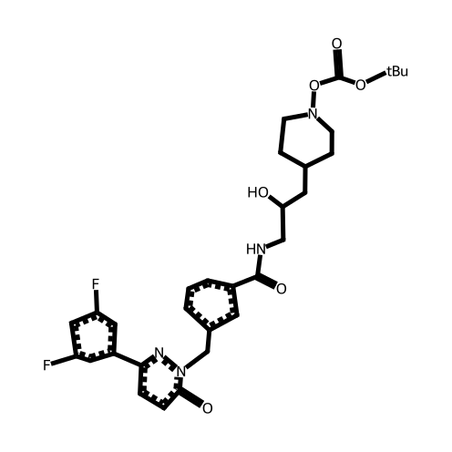 CC(C)(C)OC(=O)ON1CCC(CC(O)CNC(=O)c2cccc(Cn3nc(-c4cc(F)cc(F)c4)ccc3=O)c2)CC1